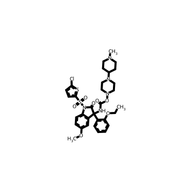 CCOc1ccccc1C1(NC(=O)ON2CCN(C3CCN(C)CC3)CC2)C(=O)N(S(=O)(=O)c2ccc(Cl)s2)c2ccc(OC)cc21